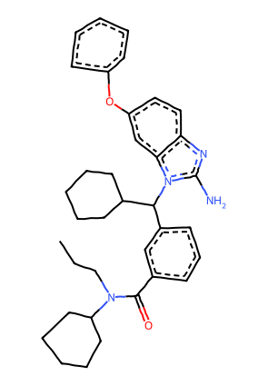 CCCN(C(=O)c1cccc(C(C2CCCCC2)n2c(N)nc3ccc(Oc4ccccc4)cc32)c1)C1CCCCC1